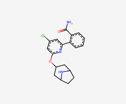 NC(=O)c1ccccc1-c1cc(Cl)cc(OC2CC3CCC(C2)N3)n1